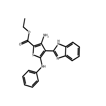 CCOC(=O)c1sc(Nc2ccccc2)c(-c2nc3ccccc3[nH]2)c1N